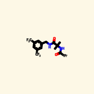 CC(C)C(=O)NC(C)(C)C(=O)NCc1cc(C(F)(F)F)cc(C(F)(F)F)c1